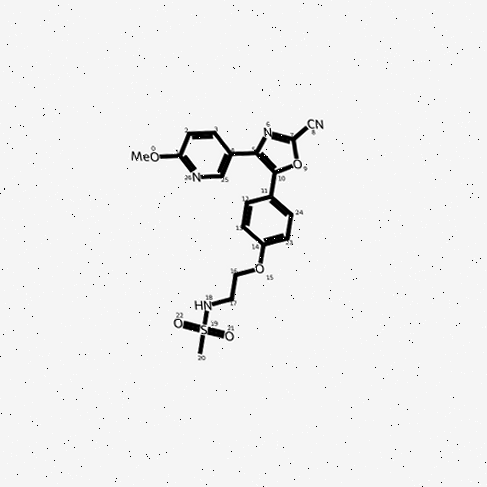 COc1ccc(-c2nc(C#N)oc2-c2ccc(OCCNS(C)(=O)=O)cc2)cn1